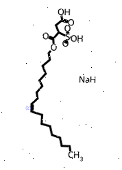 CCCCCCCC/C=C\CCCCCCCCOC(=O)C(CC(=O)O)S(=O)(=O)O.[NaH]